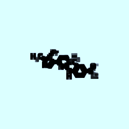 CC[S+]([O-])c1ccc(Nc2nccc(-c3cnc(C)n3C(C)C)n2)c(C)c1